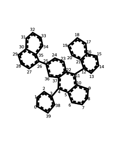 c1ccc(-c2c3ccccc3c(-c3cccc4ccccc34)c3ccc(-c4cccc5ccccc45)cc23)cc1